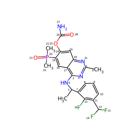 Cc1nc(NC(C)c2cccc(C(F)F)c2F)c2cc(P(C)(C)=O)c(OC(N)=O)cc2n1